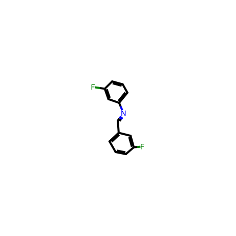 Fc1cccc(C=Nc2cccc(F)c2)c1